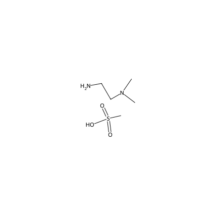 CN(C)CCN.CS(=O)(=O)O